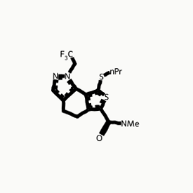 CCCSc1sc(C(=O)NC)c2c1-c1c(cnn1CC(F)(F)F)CC2